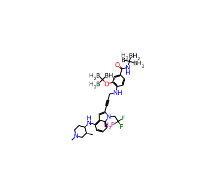 BC(B)(B)NC(=O)c1ccc(NCC#Cc2cc3c(N[C@@H]4CCN(C)C[C@@H]4C)cccc3n2CC(F)(F)P)c(OC(B)(B)B)c1